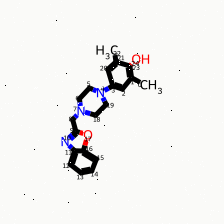 Cc1cc(N2CCN(Cc3nc4ccccc4o3)CC2)cc(C)c1O